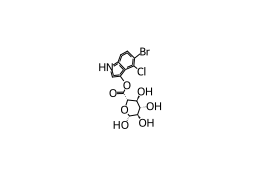 O=C(Oc1c[nH]c2ccc(Br)c(Cl)c12)[C@H]1O[C@@H](O)[C@H](O)[C@@H](O)[C@@H]1O